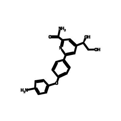 NC(=O)c1cc([C@@H](O)CO)cc(-c2ccc(Oc3ccc(N)cc3)cc2)n1